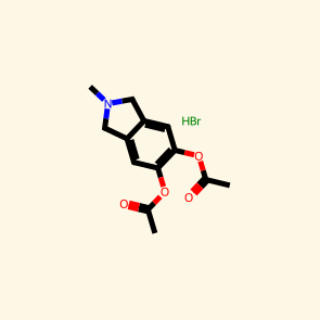 Br.CC(=O)Oc1cc2c(cc1OC(C)=O)CN(C)C2